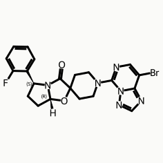 O=C1N2[C@@H](CC[C@H]2c2ccccc2F)OC12CCN(c1ncc(Br)c3ncnn13)CC2